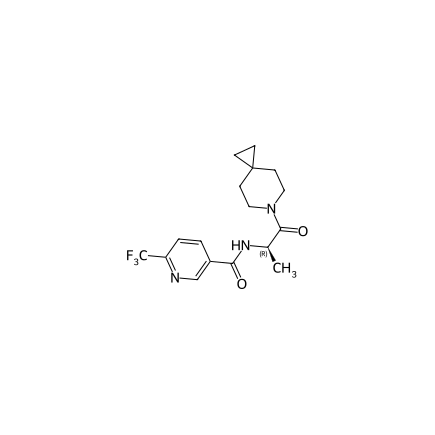 C[C@@H](NC(=O)c1ccc(C(F)(F)F)nc1)C(=O)N1CCC2(CC1)CC2